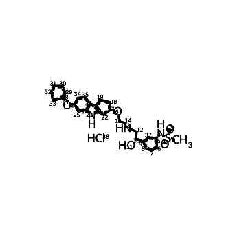 CS(=O)(=O)Nc1cccc([C@@H](O)CNCCOc2ccc3c(c2)[nH]c2cc(Oc4ccccc4)ccc23)c1.Cl